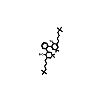 CC1(C)C=C(CCCCC(C)(C)C)C(O)C(c2ccccc2C2=CC(C)(C)C=C(CCCCC(C)(C)C)C2O)=C1